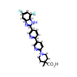 CC1(C(=O)O)CCN(c2ccc(-c3ccc(-c4nc5cc(F)cc(F)c5[nH]4)cn3)cn2)CC1